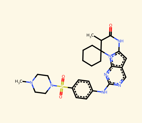 CC1C(=O)Nc2cc3cnc(Nc4ccc(S(=O)(=O)N5CCN(C)CC5)cc4)nc3n2C12CCCCC2